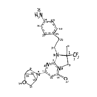 CC1(C(F)(F)F)Cn2c(nc(N3CC4CC3CO4)cc2=O)N1CCc1ccc(N)cc1